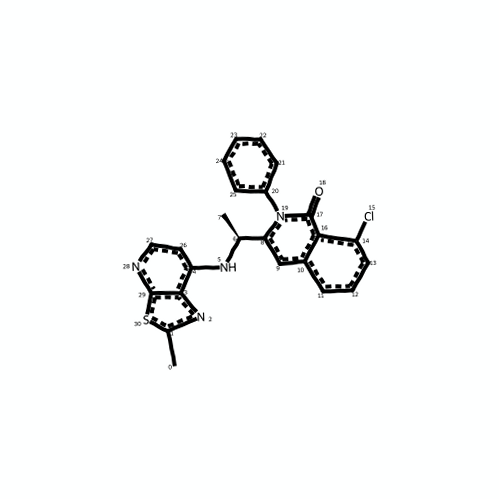 Cc1nc2c(N[C@@H](C)c3cc4cccc(Cl)c4c(=O)n3-c3ccccc3)ccnc2s1